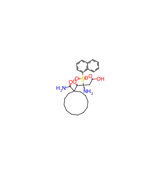 NC(=O)C1(C(=O)[C@@](N)(CC(=O)O)S(=O)(=O)c2cccc3ccccc23)CCCCCCCCCCC1